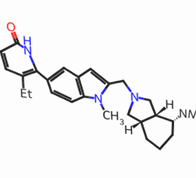 CCc1ccc(=O)[nH]c1-c1ccc2c(c1)cc(CN1C[C@H]3CCC[C@@H](NC)[C@H]3C1)n2C